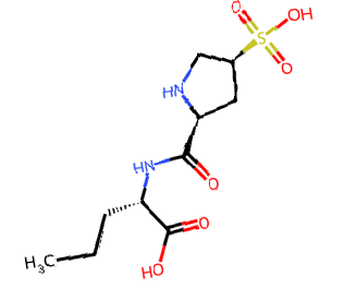 CCC[C@H](NC(=O)[C@@H]1C[C@H](S(=O)(=O)O)CN1)C(=O)O